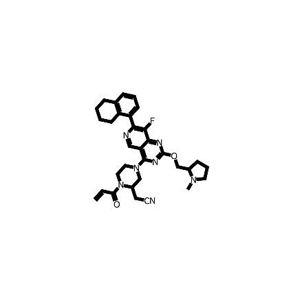 C=CC(=O)N1CCN(c2nc(OCC3CCCN3C)nc3c(F)c(-c4cccc5c4CCCC5)ncc23)CC1CC#N